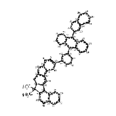 CC1(C)c2cc3sc4ccc(-c5cccc(-c6c7ccccc7c(-c7ccc8ccccc8c7)c7ccccc67)c5)cc4c3cc2-c2c1ccc1ccccc21